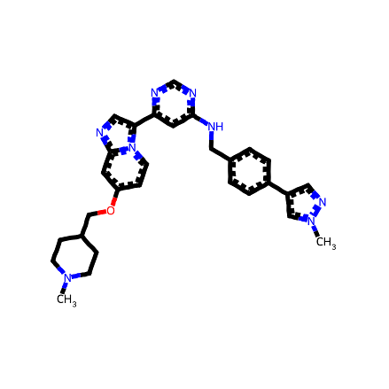 CN1CCC(COc2ccn3c(-c4cc(NCc5ccc(-c6cnn(C)c6)cc5)ncn4)cnc3c2)CC1